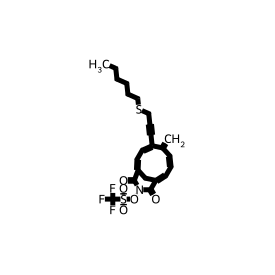 C=C1/C=C\C=C2/C/C(=C\C=C/1C#CCSCCCCCC)C(=O)N(OS(=O)(=O)C(F)(F)F)C2=O